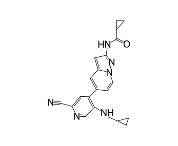 N#Cc1cc(-c2ccn3nc(NC(=O)C4CC4)cc3c2)c(NCC2CC2)cn1